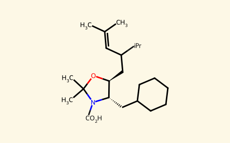 CC(C)=CC(C[C@@H]1OC(C)(C)N(C(=O)O)[C@H]1CC1CCCCC1)C(C)C